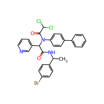 CC(NC(=O)C(c1cccnc1)N(C(=O)C(Cl)Cl)c1ccc(-c2ccccc2)cc1)c1ccc(Br)cc1